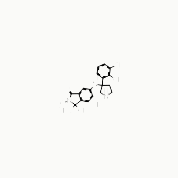 Cc1c(Cl)cccc1C1(Nc2ccc3c(c2)C(=O)N(C)C3(C)C)CCNC1.Cl